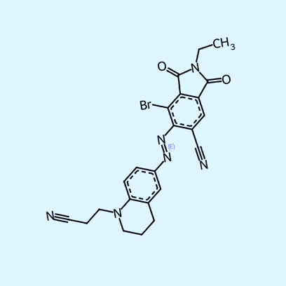 CCN1C(=O)c2cc(C#N)c(/N=N/c3ccc4c(c3)CCCN4CCC#N)c(Br)c2C1=O